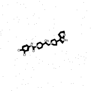 O=C(Nc1ccc(Cl)c(Cl)c1)N1CCC(C(O)CN2CCC(c3c[nH]c4ncccc34)CC2)CC1